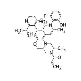 C=CC(=O)N1CC2COc3c(Cl)c(-c4c(C)ccnc4C(C)C)c4c(c3N2CC1C)C=C(C)N(c1c(O)cccc1F)C4O